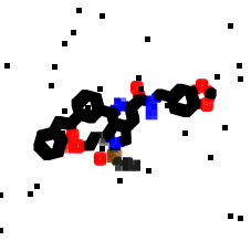 CCCC[S+]([O-])N1Cc2cc(C(=O)NCc3ccc4c(c3)OCO4)nc(-c3cccc(-c4cc5ccccc5o4)c3)c2[C@H]1CCO